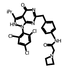 CC(C)c1[nH]n(-c2c(Cl)cc(Cl)cc2Cl)c2nc(Cc3ccc(NC(=O)CN4CCC4)cc3)nc(=O)c1-2